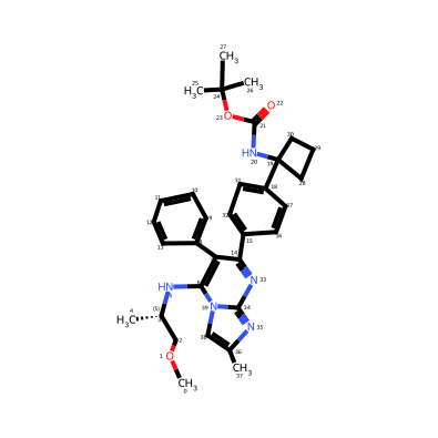 COC[C@H](C)Nc1c(-c2ccccc2)c(-c2ccc(C3(NC(=O)OC(C)(C)C)CCC3)cc2)nc2nc(C)cn12